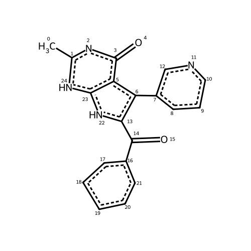 Cc1nc(=O)c2c(-c3cccnc3)c(C(=O)c3ccccc3)[nH]c2[nH]1